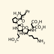 CC(C)C[C@H](N)C(=O)N1CCC[C@H]1C(=O)N[C@@H](CCC(=O)O)C(=O)N[C@@H](CCCCN)C(=O)N[C@@H](CC(=O)O)C(=O)O